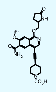 CC(C)Oc1cc2c(OCC3CCC(=O)N3)ncc(C#CC3CCN(C(=O)O)CC3)c2cc1C(N)=O